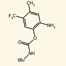 Cc1cc(N)c(OC(=O)NC(C)(C)C)cc1C(F)(F)F